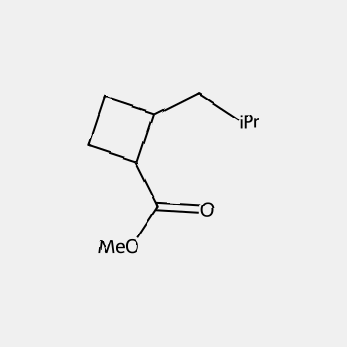 COC(=O)C1CCC1CC(C)C